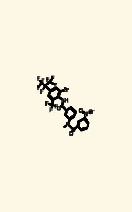 CN(C(=O)c1cccc([N+](=O)[O-])c1)c1cccc(C(=O)Nc2c(Br)cc(C(F)(C(F)(F)F)C(F)(F)F)cc2C(F)(F)F)c1